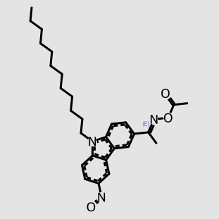 CCCCCCCCCCCCn1c2ccc(N=O)cc2c2cc(/C(C)=N/OC(C)=O)ccc21